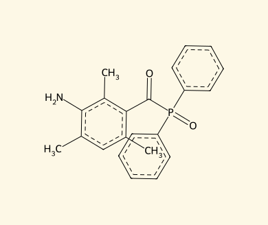 Cc1cc(C)c(C(=O)P(=O)(c2ccccc2)c2ccccc2)c(C)c1N